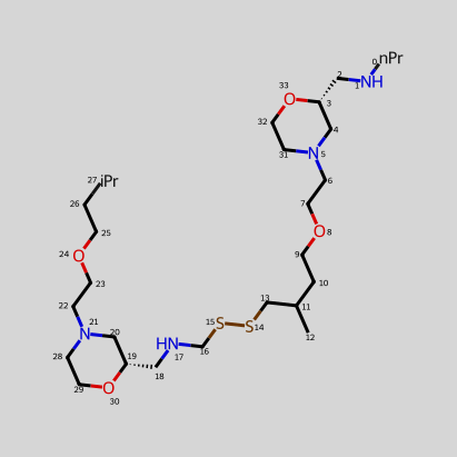 CCCNC[C@@H]1CN(CCOCCC(C)CSSCNC[C@H]2CN(CCOCCC(C)C)CCO2)CCO1